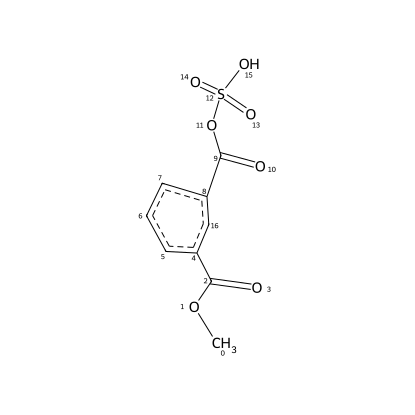 COC(=O)c1cccc(C(=O)OS(=O)(=O)O)c1